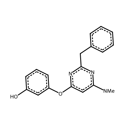 CNc1cc(Oc2cccc(O)c2)nc(Cc2ccccc2)n1